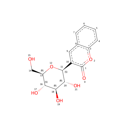 O=c1oc2ccccc2cc1[C@@H]1O[C@H](CO)[C@@H](O)[C@H](O)[C@H]1O